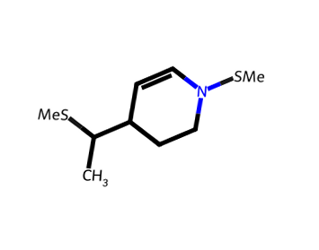 CSC(C)C1C=CN(SC)CC1